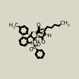 CCCCCN1C(=O)[C@@]23C[C@]4(c5ccc(C)cc5)c5ccccc5N(S(=O)(=O)c5ccccc5)[C@@H]4N2C(=O)[C@@H]1SS3